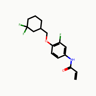 C=CC(=O)Nc1ccc(OCC2CCCC(F)(F)C2)c(F)c1